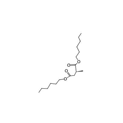 CCCCCCOC(=O)C[C@H](C)C(=O)OCCCCCC